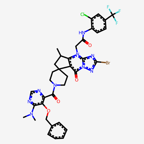 CC1CC2(CCN(C(=O)c3ncnc(N(C)C)c3OCc3ccccc3)CC2)c2c1n(CC(=O)Nc1ccc(C(F)(F)F)cc1Cl)c1nc(Br)nn1c2=O